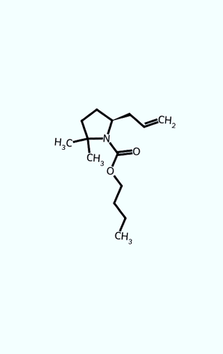 C=CC[C@@H]1CCC(C)(C)N1C(=O)OCCCC